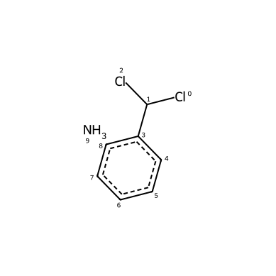 ClC(Cl)c1ccccc1.N